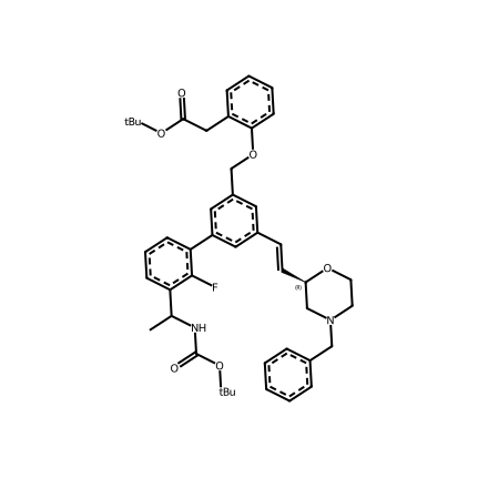 CC(NC(=O)OC(C)(C)C)c1cccc(-c2cc(C=C[C@@H]3CN(Cc4ccccc4)CCO3)cc(COc3ccccc3CC(=O)OC(C)(C)C)c2)c1F